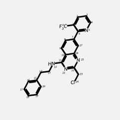 FC(F)(F)c1cccnc1-c1ccc2c(NCCc3ccccc3)nc(CCl)nc2c1